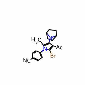 CC(=O)c1c(N2C3CCC2CC3)c(C)n(-c2ccc(C#N)cc2)c1Br